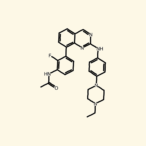 CCN1CCN(c2ccc(Nc3ncc4cccc(-c5cccc(NC(C)=O)c5F)c4n3)cc2)CC1